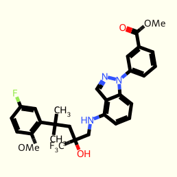 COC(=O)c1cccc(-n2ncc3c(NCC(O)(CC(C)(C)c4cc(F)ccc4OC)C(F)(F)F)cccc32)c1